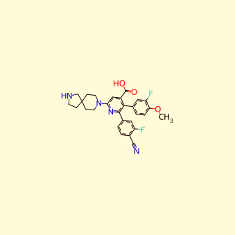 COc1ccc(-c2c(C(=O)O)cc(N3CCC4(CCNC4)CC3)nc2-c2ccc(C#N)c(F)c2)cc1F